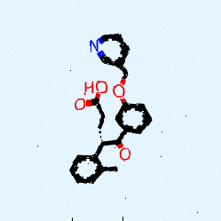 Cc1ccccc1[C@H](CCC(=O)O)C(=O)c1cccc(OCc2cccnc2)c1